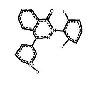 O=c1c2ccccc2c(-c2ccc[n+]([O-])c2)nn1-c1c(F)cccc1F